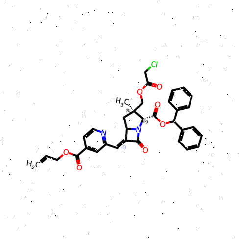 C=CCOC(=O)c1ccnc(/C=C2/C(=O)N3C2C[C@@](C)(COC(=O)CCl)[C@@H]3C(=O)OC(c2ccccc2)c2ccccc2)c1